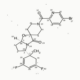 CC1([C@@H]2CC[C@H]3OC4(CCN(C(=O)c5ccc(Br)cn5)CC4)C(=O)N23)C=C(F)C=C(F)C1